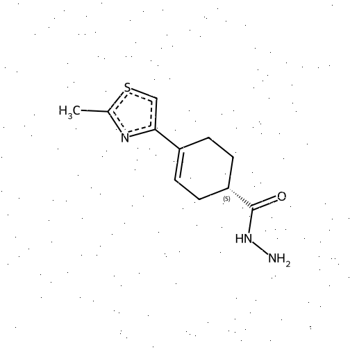 Cc1nc(C2=CC[C@@H](C(=O)NN)CC2)cs1